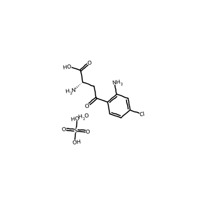 Nc1cc(Cl)ccc1C(=O)C[C@H](N)C(=O)O.O.O=S(=O)(O)O